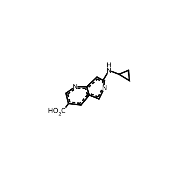 O=C(O)c1cnc2cc(NC3CC3)ncc2c1